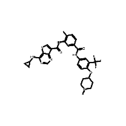 Cc1ccc(C(=O)Nc2ccc(OC3CCN(C)CC3)c(C(F)(F)F)c2)cc1NC(=O)c1csc2c(NC3CC3)ncnc12